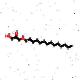 CCCCCCCCCCCCCCOCC(=O)CO